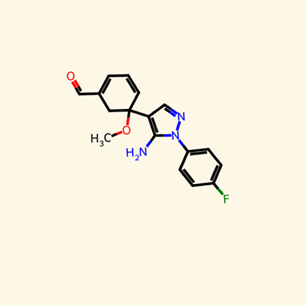 COC1(c2cnn(-c3ccc(F)cc3)c2N)C=CC=C(C=O)C1